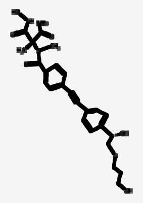 CNC(=O)[C@@](C)(C(=O)NO)N(C)C(=O)c1ccc(C#Cc2ccc([C@H](O)COCCCO)cc2)cc1